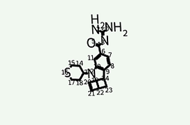 NC(N)=NC(=O)c1ccc2c(c1)N(C1CCSCC1)[C@]13C=CC1CC23